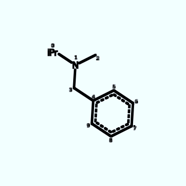 CC(C)N(C)Cc1cc[c]cc1